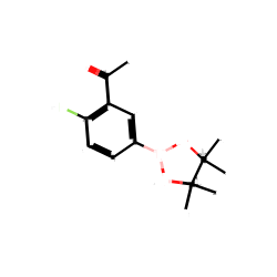 CC(=O)c1cc(B2OC(C)(C)C(C)(C)O2)ccc1F